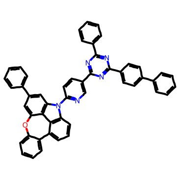 c1ccc(-c2ccc(-c3nc(-c4ccccc4)nc(-c4ccc(-n5c6cc(-c7ccccc7)cc7oc8ccccc8c8cccc5c8c76)nc4)n3)cc2)cc1